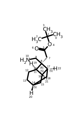 CC(C)(C)OC(=O)C[C@@]1(CN)[C@@H]2CC[C@H]3C[C@@H]2[C@@H]1C3